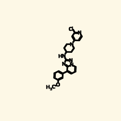 COc1cccc(-c2cccn3nc(NC4CCN(c5ccnc(Cl)c5)CC4)nc23)c1